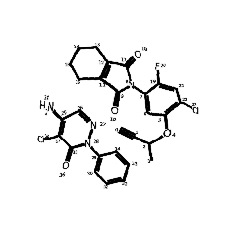 C#CC(C)Oc1cc(N2C(=O)C3=C(CCCC3)C2=O)c(F)cc1Cl.Nc1cnn(-c2ccccc2)c(=O)c1Cl